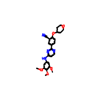 COc1cc(Nc2ccnc(-c3ccc(OC4CCOCC4)c(C#N)c3)n2)cc(OC)c1OC